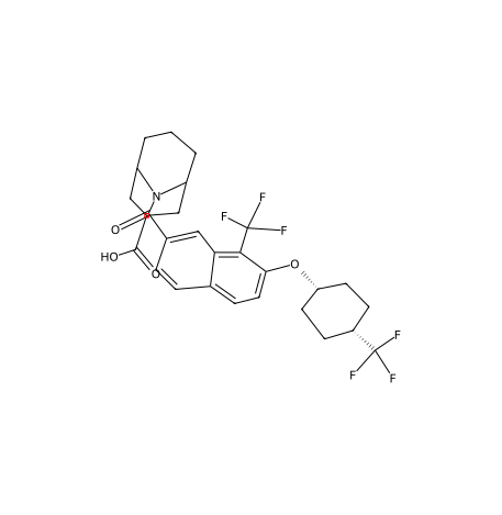 O=C(O)C1CC2CCCC(C1)N2C(=O)c1ccc2ccc(O[C@H]3CC[C@@H](C(F)(F)F)CC3)c(C(F)(F)F)c2c1